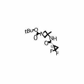 CC1(NC(=O)[C@@H]2CC2(F)F)CN(C(=O)OC(C)(C)C)C1